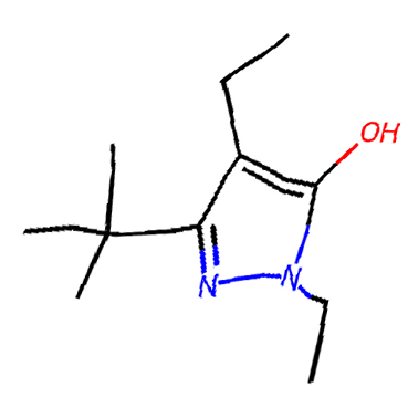 CCc1c(C(C)(C)C)nn(CC)c1O